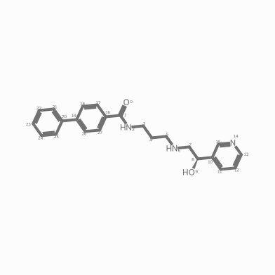 O=C(NCCCNC[C@H](O)c1cccnc1)c1ccc(-c2ccccc2)cc1